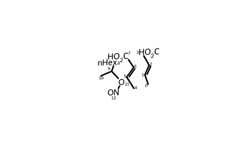 CC=CC(=O)O.CC=CC(=O)O.CCCCCCC(C)ON=O